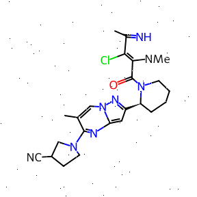 CN/C(C(=O)N1CCCC[C@H]1c1cc2nc(N3CCC(C#N)C3)c(C)cn2n1)=C(/Cl)C(C)=N